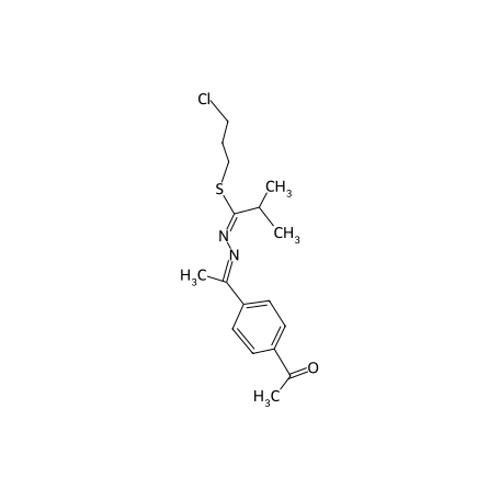 CC(=O)c1ccc(/C(C)=N/N=C(/SCCCCl)C(C)C)cc1